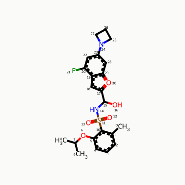 Cc1cccc(OC(C)C)c1S(=O)(=O)NC(O)c1cc2c(F)cc(N3CCC3)cc2o1